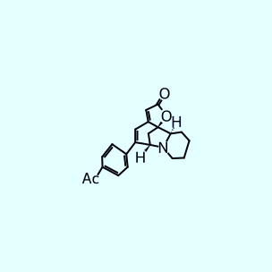 CC(=O)c1ccc(C2=CC3=CC(=O)O[C@@]34C[C@@H]2N2CCCC[C@@H]24)cc1